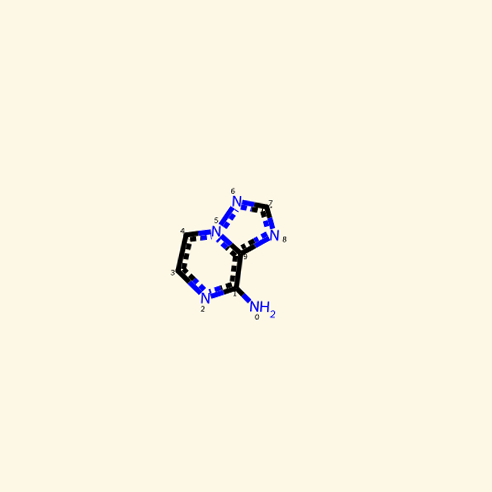 Nc1nccn2n[c]nc12